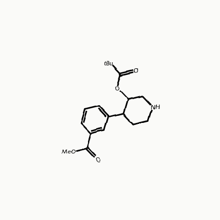 COC(=O)c1cccc(C2CCNCC2OC(=O)C(C)(C)C)c1